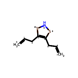 C=CCC1=C(CC=C)SNS1